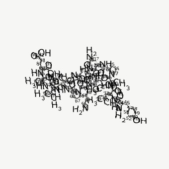 CC(C)C[C@H](NC(=O)[C@H](CC(N)=O)NC(=O)[C@H](CC(N)=O)NC(=O)[C@@H]1CCCN1C(=O)[C@H](C)NC(=O)[C@H](CC(C)C)NC(=O)[C@@H](N)Cc1ccc(O)cc1)C(=O)N[C@@H](CCCCN)C(=O)N1CCC[C@H]1C(=O)N[C@H](C(=O)N[C@H](C(=O)N[C@@H](C)C(=O)N[C@@H](CCC(=O)O)C(=O)O)C(C)C)C(C)C